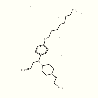 C=CCC(c1ccc(OCCCCCCCC)cc1)[C@H]1CC[C@H](CCC)CC1